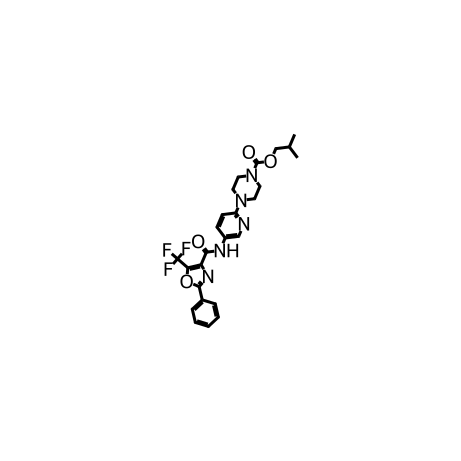 CC(C)COC(=O)N1CCN(c2ccc(NC(=O)c3nc(-c4ccccc4)oc3C(F)(F)F)cn2)CC1